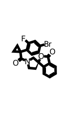 O=C1O[C@]2(CCN(C(=O)C3(c4ccc(Br)cc4F)CC3)C2)c2ccccc21